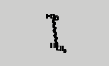 CNCCCCCCCCCCC(=O)O